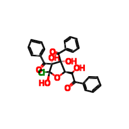 O=C(c1ccccc1)C(O)[C@H]1O[C@](O)(Cl)[C@@](O)(C(=O)c2ccccc2)[C@@]1(O)C(=O)c1ccccc1